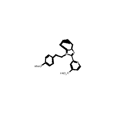 COc1ccc(CCn2c(-c3cc(C(=O)O)ccn3)nc3cc#ccc32)cc1